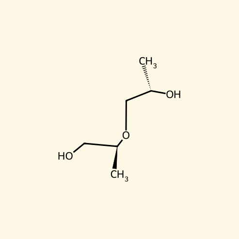 C[C@H](O)CO[C@@H](C)CO